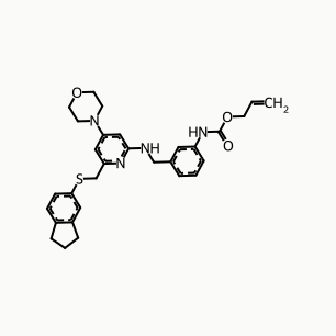 C=CCOC(=O)Nc1cccc(CNc2cc(N3CCOCC3)cc(CSc3ccc4c(c3)CCC4)n2)c1